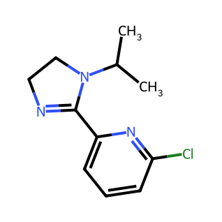 CC(C)N1CCN=C1c1cccc(Cl)n1